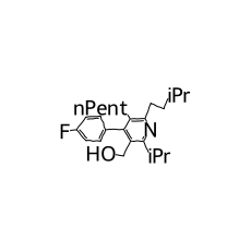 CCCCCc1c(CCC(C)C)nc(C(C)C)c(CO)c1-c1ccc(F)cc1